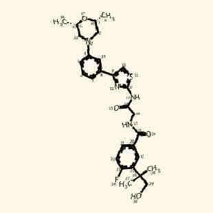 C[C@@H]1CN(c2cccc(-c3csc(NC(=O)CNC(=O)c4ccc(F)c(C(C)(C)CO)c4)n3)c2)C[C@H](C)O1